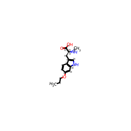 CCCOc1ccc2c(C[C@H](NC)C(=O)O)c[nH]c2c1